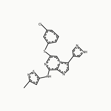 Cc1cc(Nc2nc(Sc3cccc(Cl)c3)cn3c(-c4cn[nH]c4)cnc23)sn1